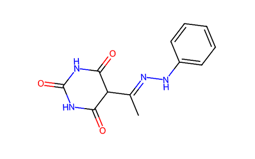 C/C(=N\Nc1ccccc1)C1C(=O)NC(=O)NC1=O